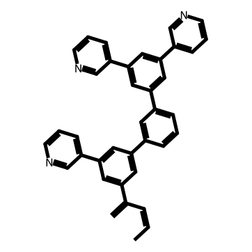 C=C(/C=C\C)c1cc(-c2cccnc2)cc(-c2cccc(-c3cc(-c4cccnc4)cc(-c4cccnc4)c3)c2)c1